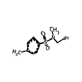 Cc1ccc(S(=O)(=O)N(C)CC(C)C)cc1